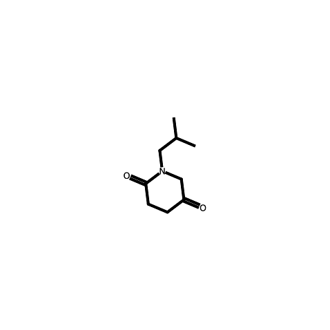 CC(C)CN1CC(=O)CCC1=O